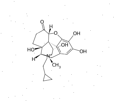 C[N@+]1(CC2CC2)C[C@@H](O)[C@]23c4c5cc(O)c(O)c4O[C@H]2C(=O)CC[C@@]3(O)[C@H]1C5